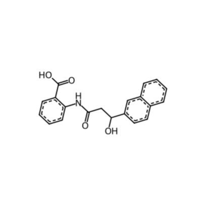 O=C(CC(O)c1ccc2ccccc2c1)Nc1ccccc1C(=O)O